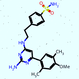 COc1cc(C)c(-c2cc(NCCc3ccc(S(N)(=O)=O)cc3)nc(N)n2)cc1C